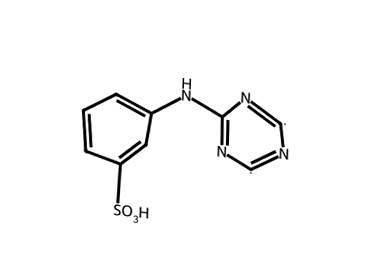 O=S(=O)(O)c1cccc(Nc2n[c]n[c]n2)c1